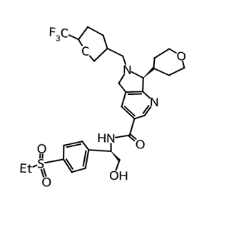 CCS(=O)(=O)c1ccc([C@H](CO)NC(=O)c2cnc3c(c2)CN(CC2CCC(C(F)(F)F)CC2)[C@H]3C2CCOCC2)cc1